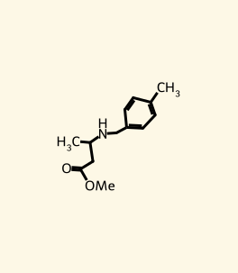 COC(=O)CC(C)NCc1ccc(C)cc1